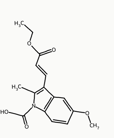 CCOC(=O)/C=C/c1c(C)n(C(=O)O)c2ccc(OC)cc12